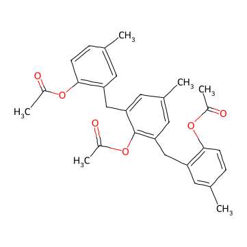 CC(=O)Oc1ccc(C)cc1Cc1cc(C)cc(Cc2cc(C)ccc2OC(C)=O)c1OC(C)=O